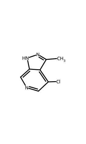 Cc1n[nH]c2cncc(Cl)c12